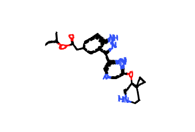 CC(C)OC(=O)Cc1ccc2[nH]nc(-c3cncc(OC4CNCCC45CC5)n3)c2c1